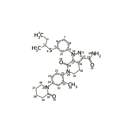 CCC(C)Sc1cccc(-n2nc(C(N)=O)c3c2C(=O)N(c2ccc(N4CCCCC4=O)cc2C)CC3)c1